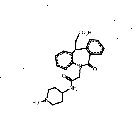 CN1CCC(NC(=O)CN2C(=O)c3ccccc3C(CC(=O)O)c3ccccc32)CC1